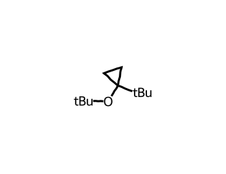 CC(C)(C)OC1(C(C)(C)C)CC1